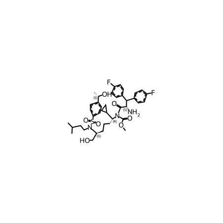 COC(=O)N(C(=O)[C@@H](N)C(c1ccc(F)cc1)c1ccc(F)cc1)[C@H](CCC[C@@H](CO)N(CCC(C)C)S(=O)(=O)c1ccc([C@H](C)O)cc1)C1CC1